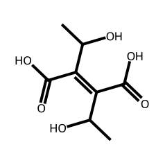 CC(O)C(C(=O)O)=C(C(=O)O)C(C)O